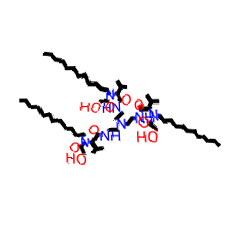 CCCCCCCCCCCCN(C(=O)CO)C(C(=O)NCCN(CCNC(=O)C(C(C)C)N(CCCCCCCCCCCC)C(=O)CO)CCNC(=O)C(C(C)C)N(CCCCCCCCCCCC)C(=O)CO)C(C)C